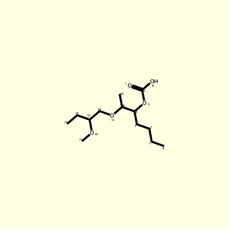 CCCCC(OC(=O)O)C(C)OCC(CC)OC